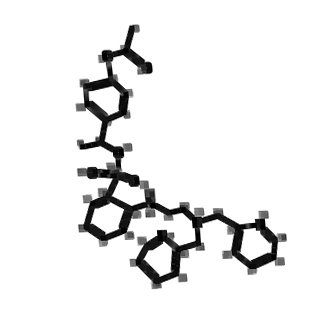 CC(=O)Oc1ccc(C(C)OS(=O)(=O)c2ccccc2NCCN(Cc2ccccn2)Cc2ccccn2)cc1